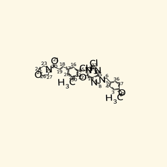 COc1ccc(Cn2cnc3c(Oc4c(C)cc(/C=C/C(=O)N5CCOCC5)cc4C)nc(Cl)nc32)cc1